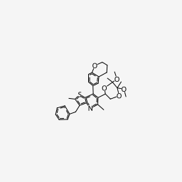 COC1(C)OCC(c2c(C)nc3c(Cc4ccccc4)c(C)sc3c2-c2ccc3c(c2)CCCO3)OC1(C)OC